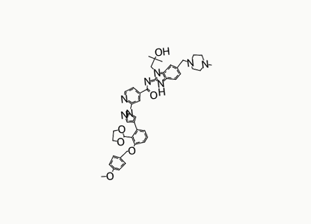 COc1ccc(COc2cccc(-c3cnn(-c4cc(C(=O)/N=c5\[nH]c6ccc(CN7CCN(C)CC7)cc6n5CC(C)(C)O)ccn4)c3)c2C2OCCO2)cc1